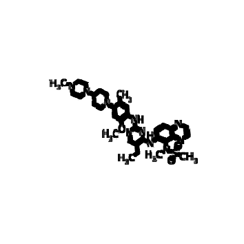 CCc1cnc(Nc2cc(C)c(N3CCC(N4CCN(C)CC4)CC3)cc2OC)nc1Nc1ccc2nccnc2c1N(C)S(C)(=O)=O